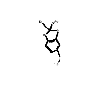 COc1ccc2c(c1)SC(N)(Br)N2